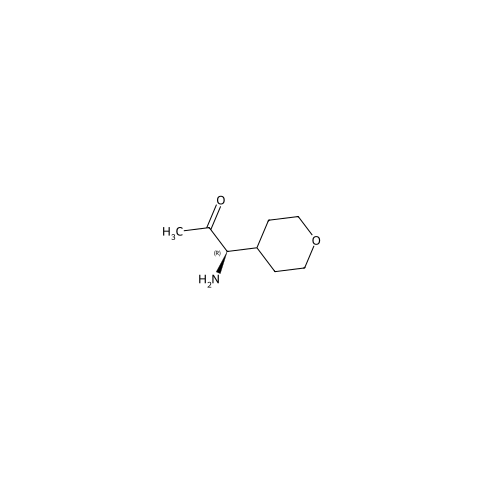 CC(=O)[C@H](N)C1CCOCC1